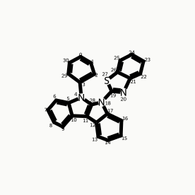 c1ccc(-n2c3ccccc3c3c4ccccc4n(-c4nc5ccccc5s4)c32)cc1